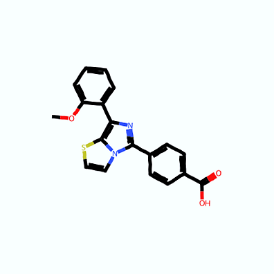 COc1ccccc1-c1nc(-c2ccc(C(=O)O)cc2)n2ccsc12